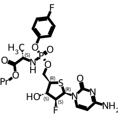 CC(C)OC(=O)[C@H](C)NP(=O)(OC[C@H]1S[C@@H](n2ccc(N)nc2=O)[C@@H](F)[C@@H]1O)Oc1ccc(F)cc1